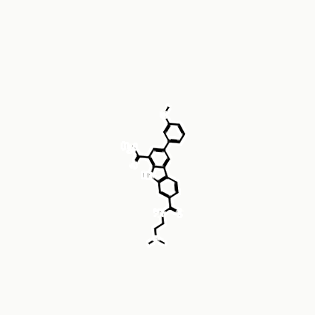 COc1cccc(-c2cc(C(N)=O)c3[nH]c4cc(C(=O)NCCN(C)C)ccc4c3c2)c1